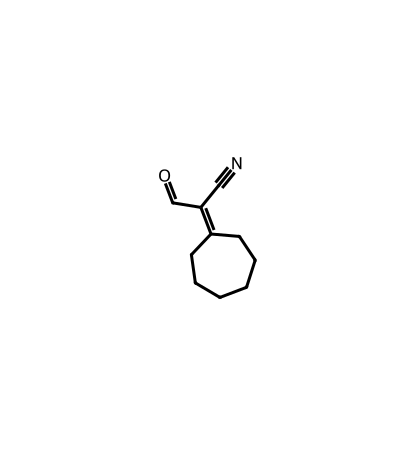 N#CC(C=O)=C1CCCCCC1